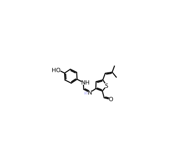 CC(C)=Cc1cc(/N=C\Nc2ccc(O)cc2)c(C=O)s1